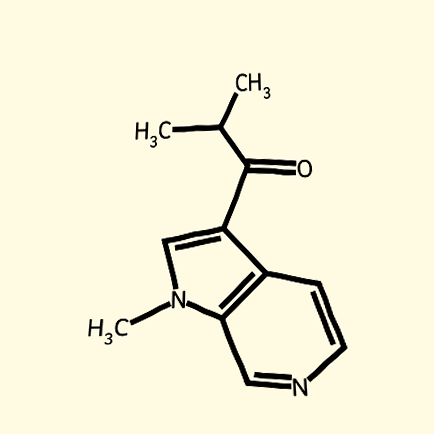 CC(C)C(=O)c1cn(C)c2cnccc12